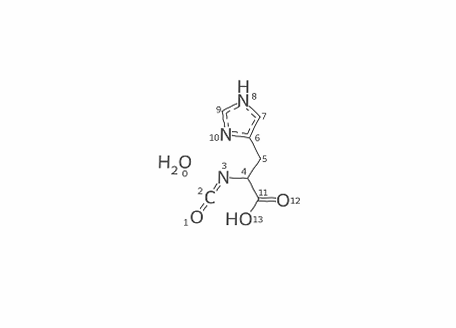 O.O=C=NC(Cc1c[nH]cn1)C(=O)O